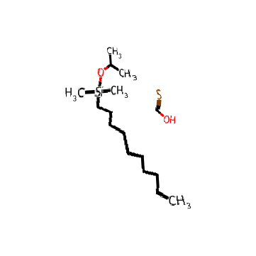 CCCCCCCCCC[Si](C)(C)OC(C)C.OC=S